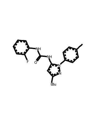 Cc1ccc(-n2nc(C(C)(C)C)cc2NC(=O)Nc2ccccc2F)cc1